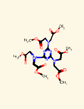 COC(=O)CN(CC(=O)OC)c1nc(N(CC(=O)OC)CC(=O)OC)nc(N(CC(=O)OC)CC(=O)OC)n1